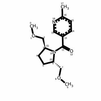 COC[C@@H]1CC[C@@H](COC)N1C(=O)c1ccc(C)nc1